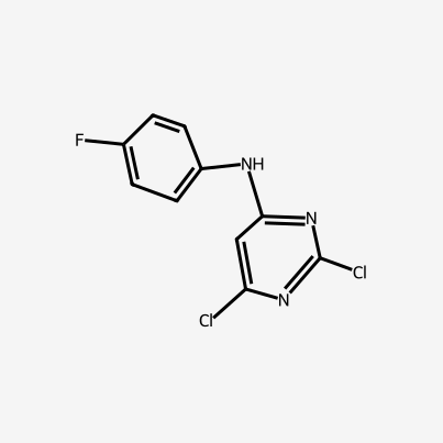 Fc1ccc(Nc2cc(Cl)nc(Cl)n2)cc1